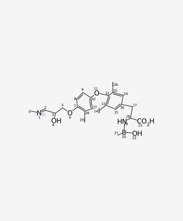 C/N=C/C(O)COc1ccc(Oc2c(I)cc(CC(NB(C)O)C(=O)O)cc2I)cc1I